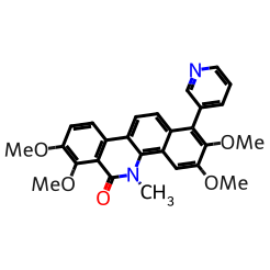 COc1cc2c(ccc3c4ccc(OC)c(OC)c4c(=O)n(C)c23)c(-c2cccnc2)c1OC